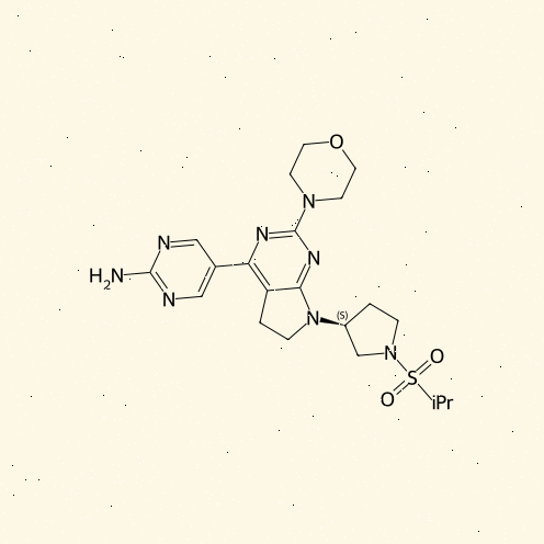 CC(C)S(=O)(=O)N1CC[C@H](N2CCc3c(-c4cnc(N)nc4)nc(N4CCOCC4)nc32)C1